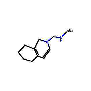 CCCCNCN1C=CC2=C([CH]CCC2)C1